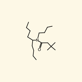 CCCCC(CCCC)N(CCCC)C(=O)CC(C)(C)C